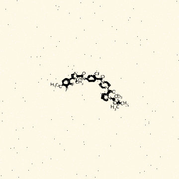 COc1ccc(-c2cnc(C(=O)Nc3ccc(C(=O)N4CCN(C(=O)C5C=CCN5C(=O)OC(C)(C)C)CC4)c(Cl)c3)n2C)c(F)c1F